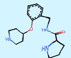 O=C(NCc1ccccc1OC1CCNCC1)C1CCCN1